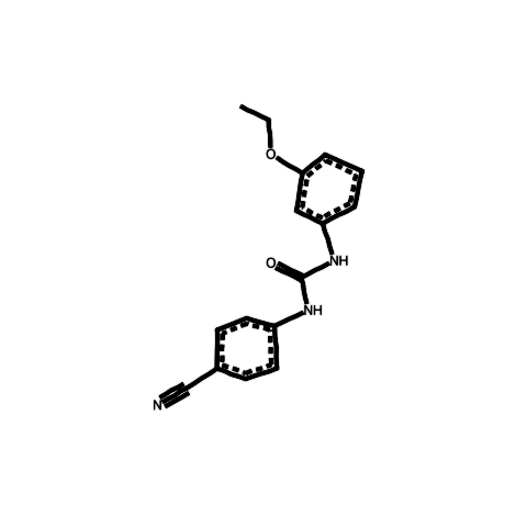 CCOc1cccc(NC(=O)Nc2ccc(C#N)cc2)c1